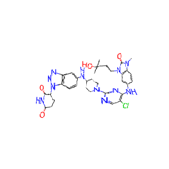 Cn1c(=O)n(CCC(C)(C)O)c2cc(Nc3nc(N4CCC(Nc5ccc6c(c5)nnn6C5CCC(=O)NC5=O)CC4)ncc3Cl)ccc21